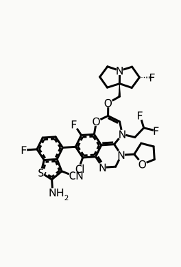 N#Cc1c(N)sc2c(F)ccc(-c3c(F)c4c5c(c3Cl)=NCN(C3CCCO3)C=5N(CC(F)F)C=C(OC[C@@]35CCCN3C[C@H](F)C5)O4)c12